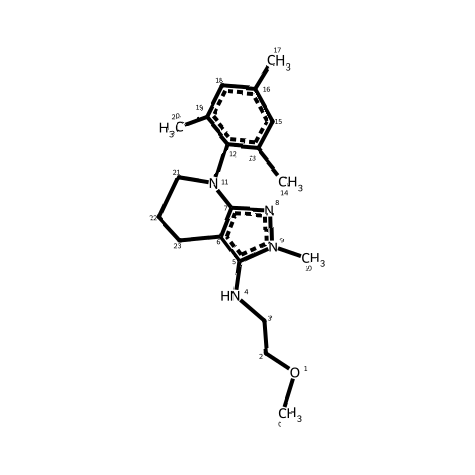 COCCNc1c2c(nn1C)N(c1c(C)cc(C)cc1C)CCC2